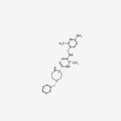 Cc1nc(N)ccc1CNC(=O)[C@H](C)NC(=O)[C@@H]1CC[C@H](Cc2ccccc2)CCN1